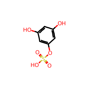 O=S(=O)(O)Oc1cc(O)cc(O)c1